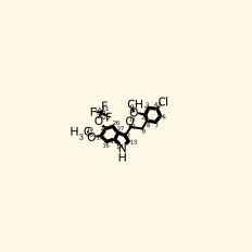 COc1cc(Cl)ccc1CC(=O)c1c[nH]c2cc(OC)c(OC(F)(F)F)cc12